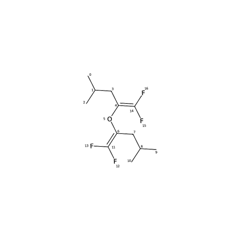 CC(C)CC(OC(CC(C)C)=C(F)F)=C(F)F